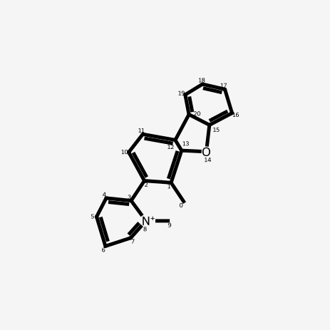 Cc1c(-c2cccc[n+]2C)ccc2c1oc1ccccc12